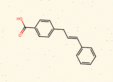 O=C(O)c1ccc(CC=Cc2ccccc2)cc1